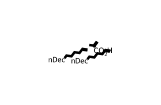 C=C(C)C(=O)O.C=CCCCCCCCCCCCCCC.C=CCCCCCCCCCCCCCC